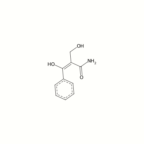 NC(=O)C(CO)=C(O)c1ccccc1